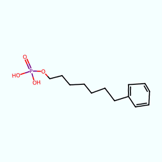 O=P(O)(O)OCCCCCCCc1ccccc1